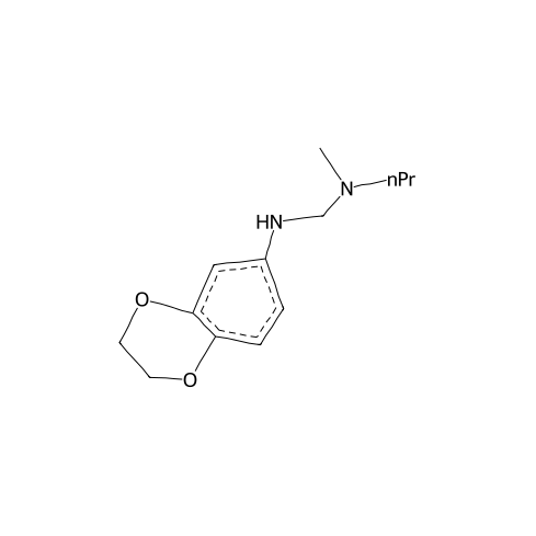 CCCN(C)CNc1ccc2c(c1)OCCO2